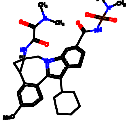 COc1ccc2c(c1)C1C[C@@]1(NC(=O)C(=O)N(C)C)Cn1c-2c(C2CCCCC2)c2ccc(C(=O)NS(=O)(=O)N(C)C)cc21